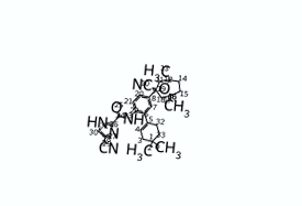 CC1(C)CC=C(c2cc(C3(C#N)CC4(C)CC[C@](C)(C3)O4)ccc2NC(=O)c2nc(C#N)c[nH]2)CC1